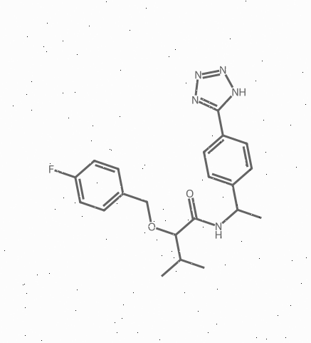 CC(NC(=O)C(OCc1ccc(F)cc1)C(C)C)c1ccc(-c2nnn[nH]2)cc1